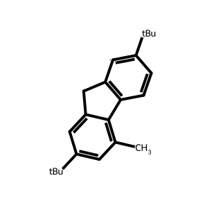 Cc1cc(C(C)(C)C)cc2c1-c1ccc(C(C)(C)C)[c]c1C2